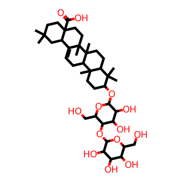 CC1(C)CCC2(C(=O)O)CCC3(C)C(=CCC4C5(C)CCC(OC6OC(CO)C(OC7OC(CO)C(O)C(O)C7O)C(O)C6O)C(C)(C)C5CCC43C)C2C1